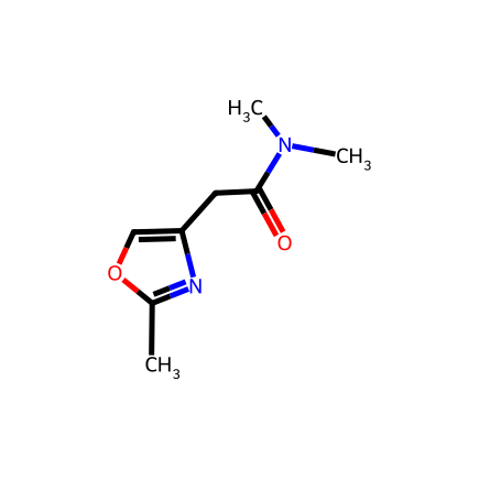 Cc1nc(CC(=O)N(C)C)co1